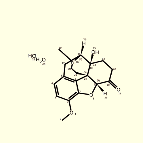 COc1ccc2c3c1O[C@H]1C(=O)CC[C@@]4(O)[C@@H](C2)N(C)CC[C@]314.Cl.O